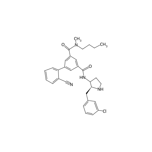 CCCCN(C)C(=O)c1cc(C(=O)NC2CCN[C@H]2Cc2cccc(Cl)c2)cc(-c2ccccc2C#N)c1